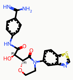 N=C(N)c1ccc(NC(=O)[C@H](O)[C@H]2OCCN(c3ccc4scnc4c3)C2=O)cc1